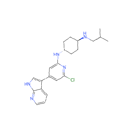 CC(C)CN[C@H]1CC[C@H](Nc2cc(-c3c[nH]c4ncccc34)cc(Cl)n2)CC1